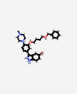 CN1CCN(c2ccc(-c3n[nH]c4ccc(Br)cc34)cc2OCCCCOCc2ccccc2)CC1